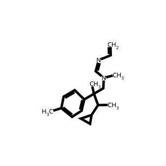 C=C/N=C\N(C)CC(C)(c1ccc(C)cc1)C(C)C1CC1